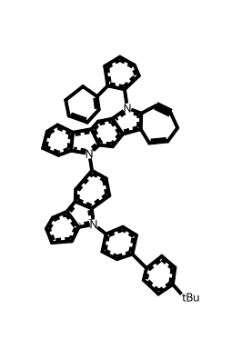 CC(C)(C)c1ccc(-c2ccc(-n3c4ccccc4c4cc(-n5c6ccccc6c6cc7c(cc65)c5c(n7-c6ccccc6C6=CC=CCC6)C#CCC=C5)ccc43)cc2)cc1